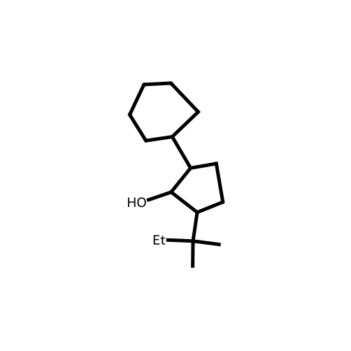 CCC(C)(C)C1CCC(C2CCCCC2)C1O